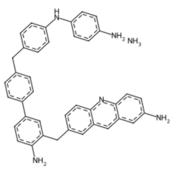 N.Nc1ccc(Nc2ccc(Cc3ccc(-c4ccc(N)c(Cc5ccc6nc7ccc(N)cc7cc6c5)c4)cc3)cc2)cc1